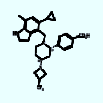 Cc1cc(C2CC2)c(CN2CC[C@@H](N3CC(C(F)(F)F)C3)C[C@H]2c2ccc(C(=O)O)cc2)c2cc[nH]c12